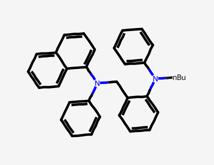 CCCCN(c1ccccc1)c1ccccc1CN(c1ccccc1)c1cccc2ccccc12